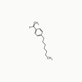 C=C(I)c1ccc(CCCCCCC)cc1